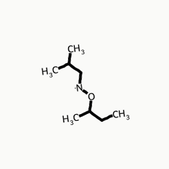 CCC(C)O[N]CC(C)C